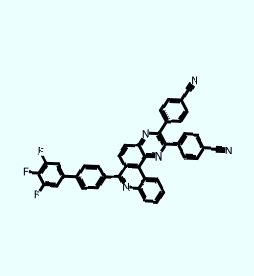 N#Cc1ccc(-c2nc3ccc4c(-c5ccc(-c6cc(F)c(F)c(F)c6)cc5)nc5ccccc5c4c3nc2-c2ccc(C#N)cc2)cc1